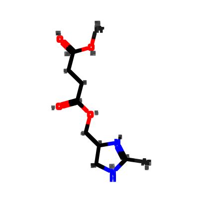 CC(=O)C1=NC(COC(=O)CCC(=O)OC(C)C)CN1